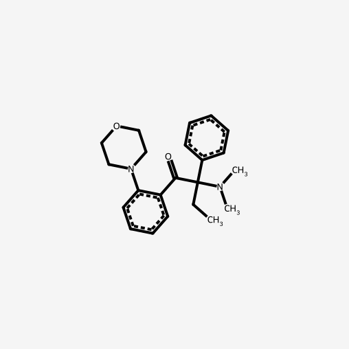 CCC(C(=O)c1ccccc1N1CCOCC1)(c1ccccc1)N(C)C